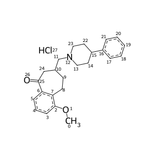 COc1cccc2c1CCC(CN1CCC(c3ccccc3)CC1)CC2=O.Cl